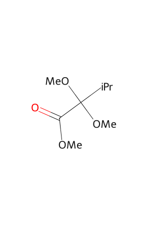 COC(=O)C(OC)(OC)C(C)C